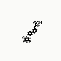 O=C(O)NCc1cccc(-c2cccc(Oc3nc(F)c(F)cc3F)c2)c1